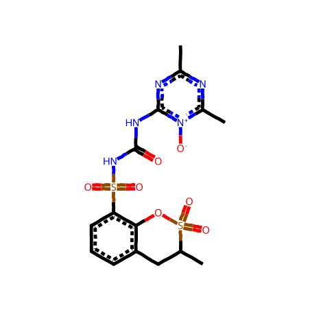 Cc1nc(C)[n+]([O-])c(NC(=O)NS(=O)(=O)c2cccc3c2OS(=O)(=O)C(C)C3)n1